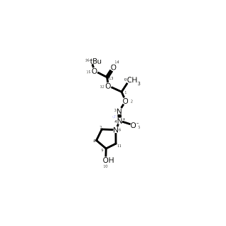 CC(O/N=[N+](\[O-])N1CCC(O)C1)OC(=O)OC(C)(C)C